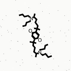 CCCCN(CCCC)C(C)CCCC(C)(C)C1=CC(=O)C(C(C)(C)CCCC(C)N(CCCC)CCCC)=CC1=O